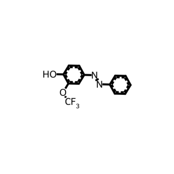 Oc1ccc(N=Nc2ccccc2)cc1OC(F)(F)F